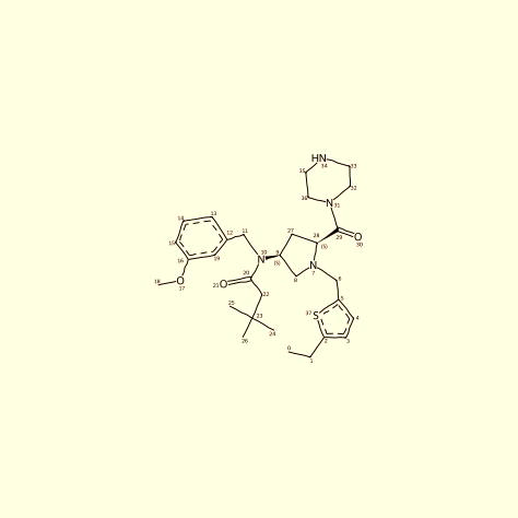 CCc1ccc(CN2C[C@@H](N(Cc3cccc(OC)c3)C(=O)CC(C)(C)C)C[C@H]2C(=O)N2CCNCC2)s1